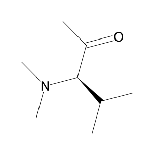 CC(=O)[C@@H](C(C)C)N(C)C